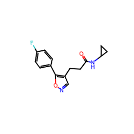 O=C(CCc1cnoc1-c1ccc(F)cc1)NC1CC1